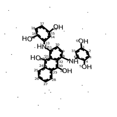 Oc1ccc(O)c(Nc2ccc(Nc3cc(O)ccc3O)c3c(O)c4ccccc4c(O)c23)c1